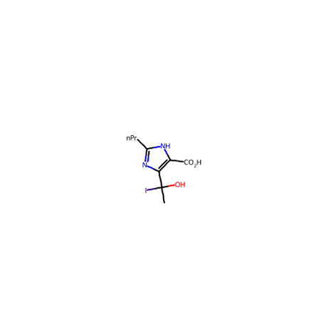 CCCc1nc(C(C)(O)I)c(C(=O)O)[nH]1